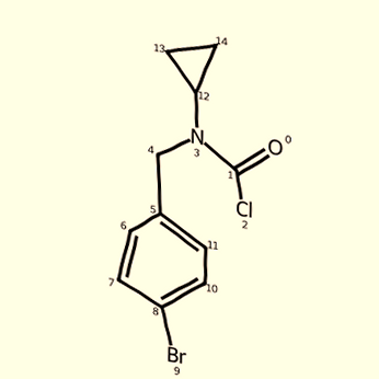 O=C(Cl)N(Cc1ccc(Br)cc1)C1CC1